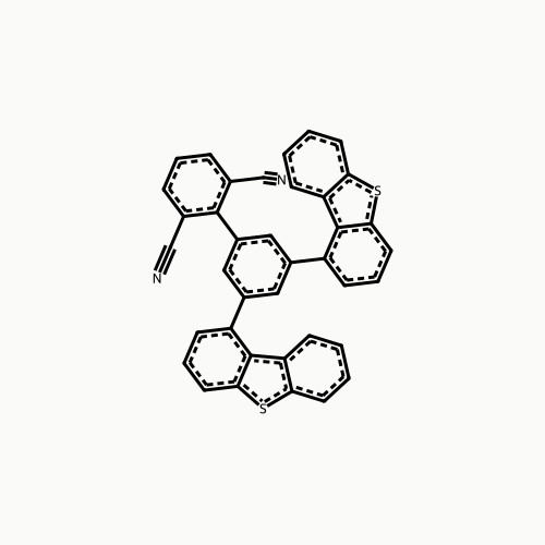 N#Cc1cccc(C#N)c1-c1cc(-c2cccc3sc4ccccc4c23)cc(-c2cccc3sc4ccccc4c23)c1